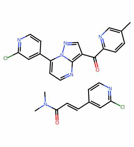 CN(C)C(=O)C=Cc1ccnc(Cl)c1.Cc1ccc(C(=O)c2cnn3c(-c4ccnc(Cl)c4)ccnc23)nc1